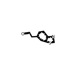 O=CCc1ccc2ncsc2c1